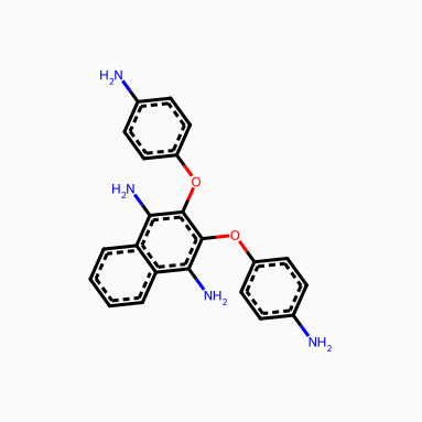 Nc1ccc(Oc2c(Oc3ccc(N)cc3)c(N)c3ccccc3c2N)cc1